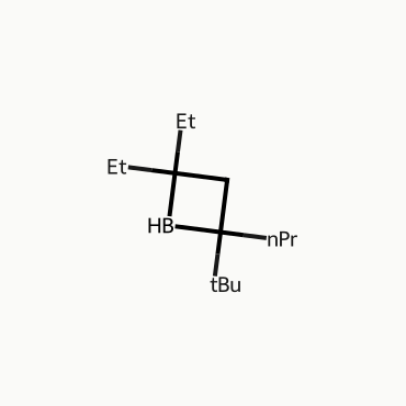 CCCC1(C(C)(C)C)BC(CC)(CC)C1